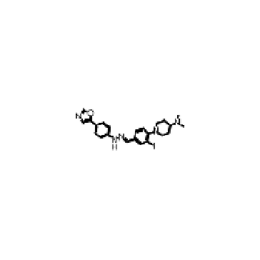 CN(C)C1CCN(c2ccc(C=NNc3ccc(-c4cnco4)cc3)cc2I)CC1